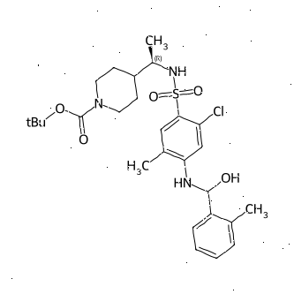 Cc1cc(S(=O)(=O)N[C@H](C)C2CCN(C(=O)OC(C)(C)C)CC2)c(Cl)cc1NC(O)c1ccccc1C